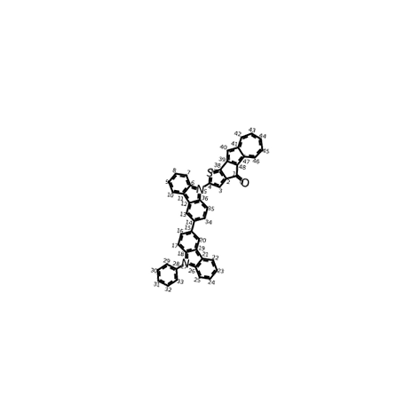 O=C1c2cc(-n3c4ccccc4c4cc(-c5ccc6c(c5)c5ccccc5n6-c5ccccc5)ccc43)sc2-c2cc3cccccc-3c21